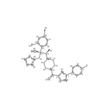 Cc1ccc(-c2nsc(C(=O)N3CCN([C@H](C)[C@](O)(Cn4cncn4)c4ccc(F)cc4F)CC3)n2)cc1